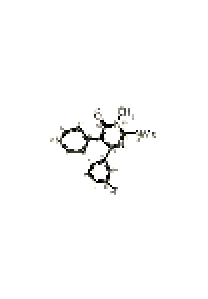 CNc1nc(-c2cccc(F)c2)c(-c2ccncc2)c(=O)n1C